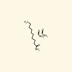 CCCCCCCCCC(N)=O.NC=O.NC=O